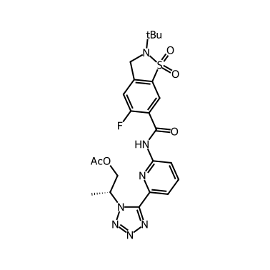 CC(=O)OC[C@@H](C)n1nnnc1-c1cccc(NC(=O)c2cc3c(cc2F)CN(C(C)(C)C)S3(=O)=O)n1